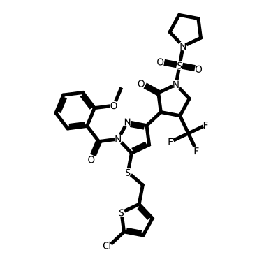 COc1ccccc1C(=O)n1nc(C2C(=O)N(S(=O)(=O)N3CCCC3)CC2C(F)(F)F)cc1SCc1ccc(Cl)s1